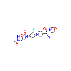 CC(=O)NCC1CN(c2ccc(N3CCC(=C(C#N)C(=O)N4CCOCC4)CC3)c(F)c2)C(=O)O1